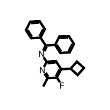 Cc1nc(N=C(c2ccccc2)c2ccccc2)cc(C2CCC2)c1F